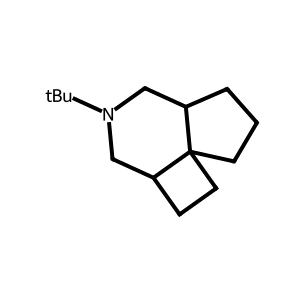 CC(C)(C)N1CC2CCCC23CCC3C1